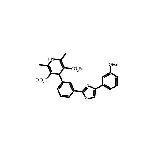 CCOC(=O)C1=C(C)NC(C)=C(C(=O)OCC)C1c1cccc(-c2nc(-c3cccc(OC)c3)cs2)c1